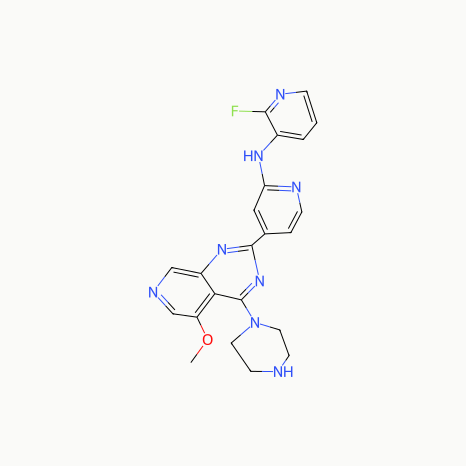 COc1cncc2nc(-c3ccnc(Nc4cccnc4F)c3)nc(N3CCNCC3)c12